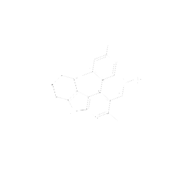 Cc1nc2sc3c(c2c(-c2ccc(Cl)cc2F)c1[C@H](OC(C)(C)C)C(=O)O)CCCC3